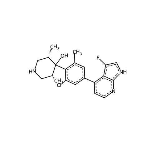 Cc1cc(-c2ccnc3[nH]cc(F)c23)cc(Cl)c1C1(O)[C@H](C)CNC[C@@H]1C